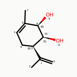 C=C(C)[C@H]1CC=C(C)[C@@H](O)[C@H]1O